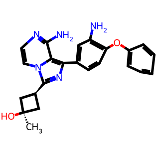 C[C@]1(O)C[C@@H](c2nc(-c3ccc(Oc4ccccc4)c(N)c3)c3c(N)nccn32)C1